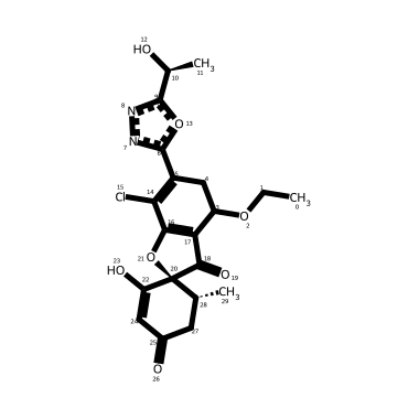 CCOC1CC(c2nnc([C@H](C)O)o2)=C(Cl)C2=C1C(=O)[C@@]1(O2)C(O)=CC(=O)C[C@H]1C